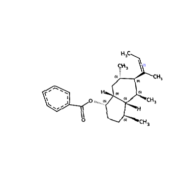 C/C=C(/C)[C@H]1[C@@H](C)[C@H]2[C@@H](C[C@@H]1C)[C@@H](OC(=O)c1ccccc1)CC[C@@H]2C